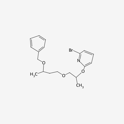 CC(CCOCC(C)Oc1cccc(Br)n1)OCc1ccccc1